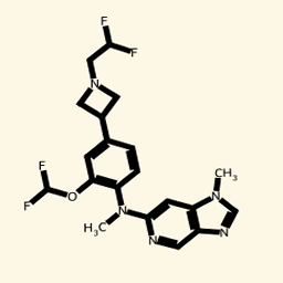 CN(c1cc2c(cn1)ncn2C)c1ccc(C2CN(CC(F)F)C2)cc1OC(F)F